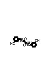 N#Cc1cccc(NNC(=O)C(=O)NNc2cccc(C#N)c2)c1